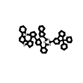 c1ccc(C2(c3ccccc3)c3ccccc3-c3cc(-c4nc(-c5ccc6ccccc6c5)nc(-c5ccccc5-c5ccc(-c6cccc7c6c6cccc8sc9ccc%10c%11ccccc%11n7c%10c9c86)cc5)n4)ccc32)cc1